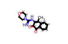 CC1=C(NC(=N)N2CCOCC2)C(=O)C(=O)c2ccccc21